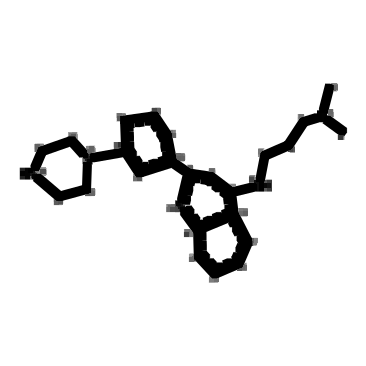 CN(C)CCCNc1cc(-c2cccc(N3CCNCC3)c2)nc2ccccc12